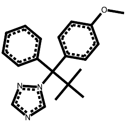 COc1ccc(C(c2ccccc2)(n2cncn2)C(C)(C)C)cc1